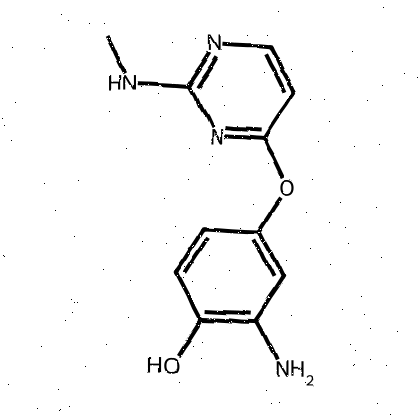 CNc1nccc(Oc2ccc(O)c(N)c2)n1